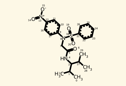 CC(C)C(NC(=O)CN(c1ccc([N+](=O)[O-])cc1)S(=O)(=O)c1ccccc1)C(C)C